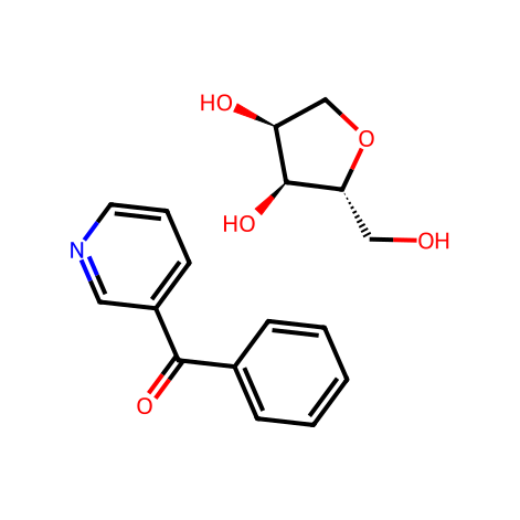 O=C(c1ccccc1)c1cccnc1.OC[C@H]1OC[C@H](O)[C@@H]1O